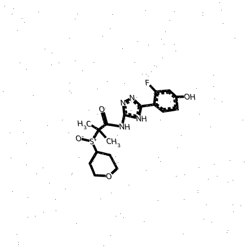 CC(C)(C(=O)Nc1nnc(-c2ccc(O)cc2F)[nH]1)[S+]([O-])C1CCOCC1